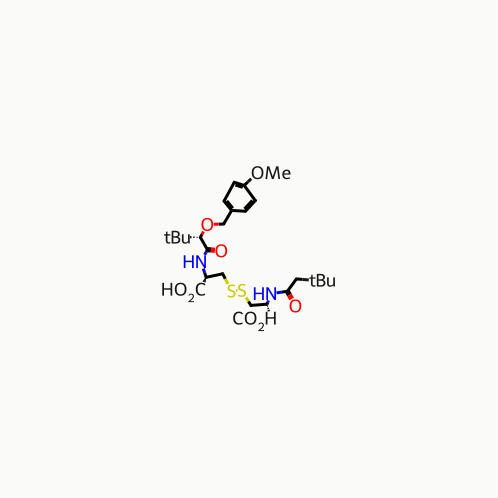 COc1ccc(CO[C@H](C(=O)N[C@@H](CSSC[C@H](NC(=O)CC(C)(C)C)C(=O)O)C(=O)O)C(C)(C)C)cc1